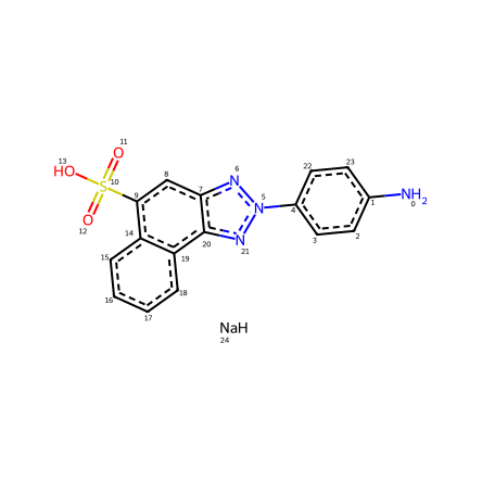 Nc1ccc(-n2nc3cc(S(=O)(=O)O)c4ccccc4c3n2)cc1.[NaH]